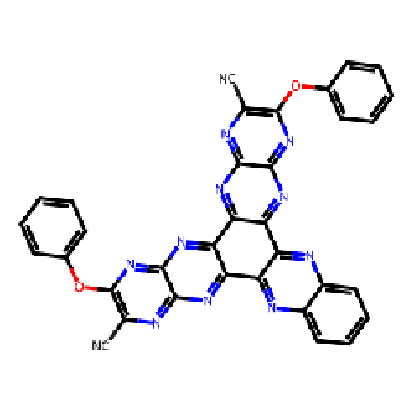 N#Cc1nc2nc3c4nc5ccccc5nc4c4nc5nc(Oc6ccccc6)c(C#N)nc5nc4c3nc2nc1Oc1ccccc1